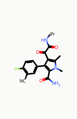 Cc1c(C(=O)C(=O)NC(C)C)c(-c2ccc(F)c(C#N)c2)c(C(N)=O)n1C